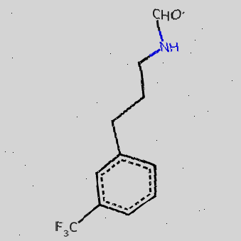 O=[C]NCCCc1cccc(C(F)(F)F)c1